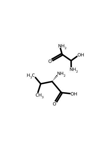 CC(C)[C@H](N)C(=O)O.NC(=O)C(N)O